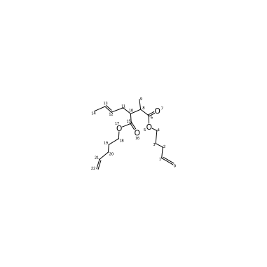 C=CCCCOC(=O)C(C)C(CC=CC)C(=O)OCCCC=C